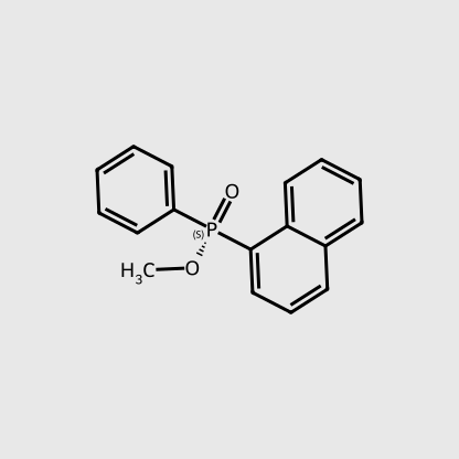 CO[P@@](=O)(c1ccccc1)c1cccc2ccccc12